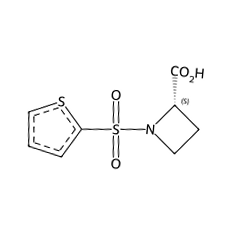 O=C(O)[C@@H]1CCN1S(=O)(=O)c1cccs1